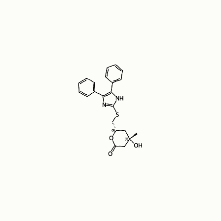 C[C@@]1(O)CC(=O)O[C@H](CSc2nc(-c3ccccc3)c(-c3ccccc3)[nH]2)C1